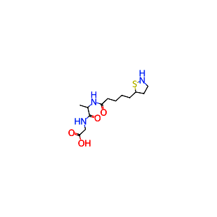 CC(NC(=O)CCCCC1CCNS1)C(=O)NCC(=O)O